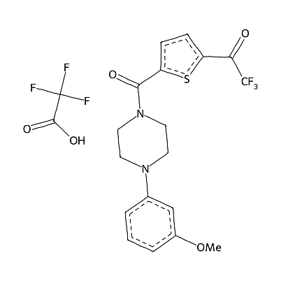 COc1cccc(N2CCN(C(=O)c3ccc(C(=O)C(F)(F)F)s3)CC2)c1.O=C(O)C(F)(F)F